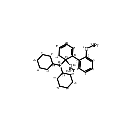 CC(C)Oc1ccccc1C1=CC=CCC1(OC(C)C)P(C1CCCCC1)C1CCCCC1